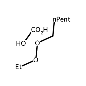 CCCCCCOOCC.O=C(O)O